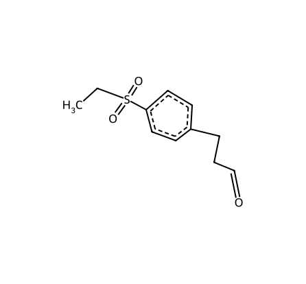 CCS(=O)(=O)c1ccc(CCC=O)cc1